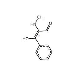 CN/C(C=O)=C(\O)c1ccccc1